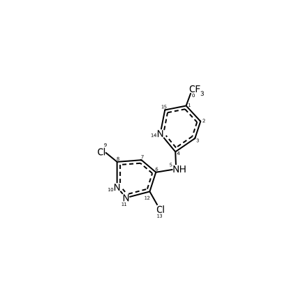 FC(F)(F)c1ccc(Nc2cc(Cl)nnc2Cl)nc1